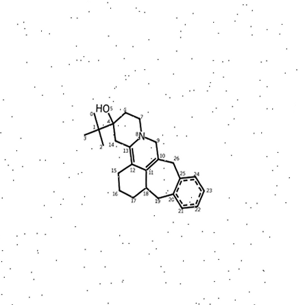 CC(C)(C)C1(O)CCN2CC3=C4C(=C2C1)CCCC4Cc1ccccc1C3